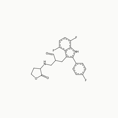 O=CC(CNC1CCOC1=O)Cc1c(-c2ccc(F)cc2)[nH]c2c(F)ccc(F)c12